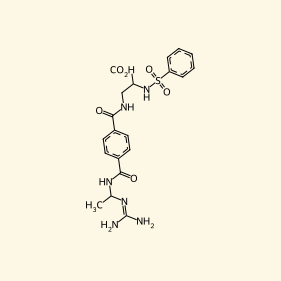 CC(N=C(N)N)NC(=O)c1ccc(C(=O)NCC(NS(=O)(=O)c2ccccc2)C(=O)O)cc1